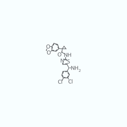 N[C@@H](c1ccc(Cl)c(Cl)c1)c1cnc(NC(=O)C2(c3ccc4c(c3)OCO4)CC2)s1